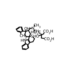 Cc1ccccc1C1(O)CCC2(CC1CN(C)C)SCCc1c2[nH]c2ccccc12.O=C(O)CC(O)(CC(=O)O)C(=O)O